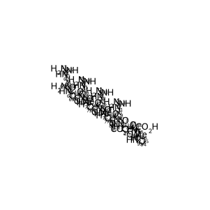 COc1ccc(NC(=O)[C@@H](CCCNC(=N)N)NC(=O)c2cc(NC(=O)[C@@H](CCCNC(=N)N)NC(=O)c3cc(NC(=O)[C@@H](CCCNC(=N)N)NC(=O)c4cc(NC(=O)[C@H](N)CCCNC(=N)N)ccc4OC)ccc3OC)ccc2OCC(=O)O)cc1C(=O)N[C@H](Cc1c[nH]c2ccccc12)C(=O)O